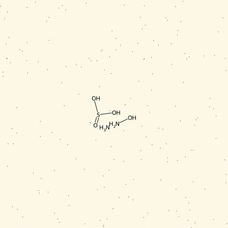 N.NO.O=S(O)O